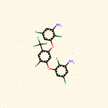 Nc1cc(F)cc(Oc2cc(Oc3cc(F)cc(N)c3F)c(C(F)(F)F)cc2F)c1F